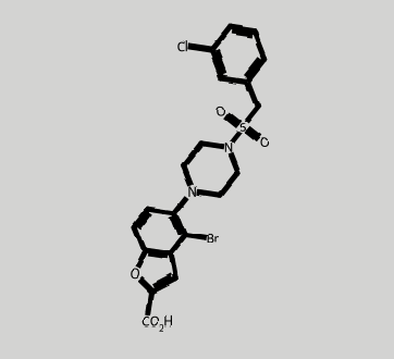 O=C(O)c1cc2c(Br)c(N3CCN(S(=O)(=O)Cc4cccc(Cl)c4)CC3)ccc2o1